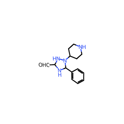 O=CC1NC(c2ccccc2)N(C2CCNCC2)N1